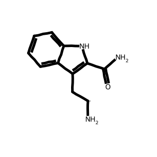 N[CH]Cc1c(C(N)=O)[nH]c2ccccc12